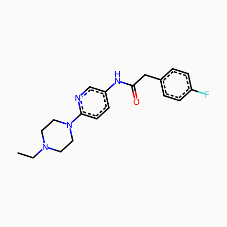 CCN1CCN(c2ccc(NC(=O)Cc3ccc(F)cc3)cn2)CC1